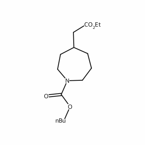 CCCCOC(=O)N1CCCC(CC(=O)OCC)CC1